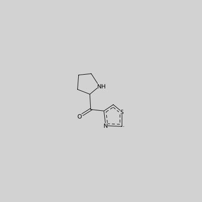 O=C(c1cs[c]n1)C1CCCN1